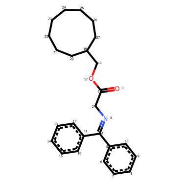 O=C(CN=C(c1ccccc1)c1ccccc1)OCC1CCCCCCCC1